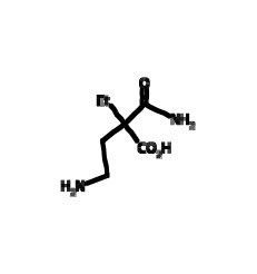 CCC(CCN)(C(N)=O)C(=O)O